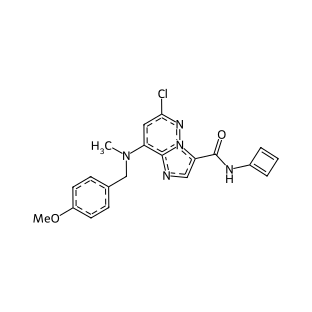 COc1ccc(CN(C)c2cc(Cl)nn3c(C(=O)NC4=CC=C4)cnc23)cc1